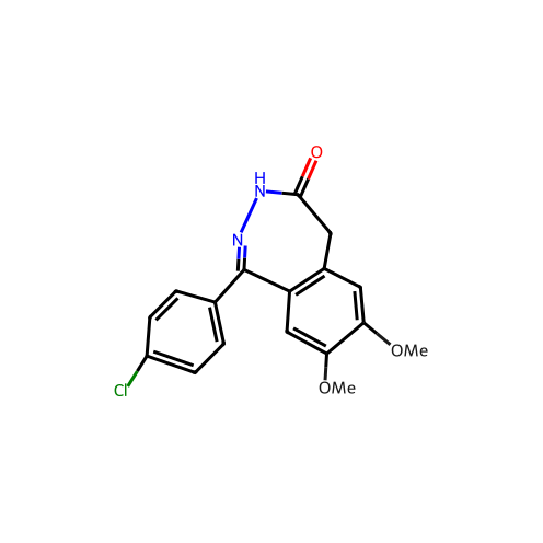 COc1cc2c(cc1OC)C(c1ccc(Cl)cc1)=NNC(=O)C2